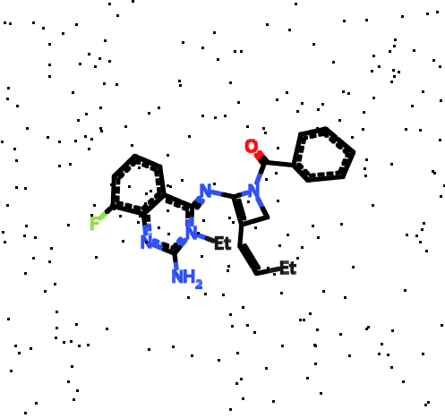 CC/C=C\C1=C(/N=c2/c3cccc(F)c3nc(N)n2CC)N(C(=O)c2ccccc2)C1